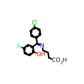 O=C(O)CCCN=C(c1ccc(Cl)cc1)c1cc(F)ccc1O